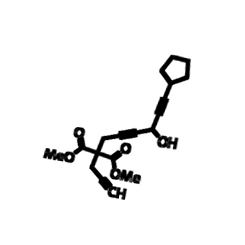 C#CCC(CC#CC(O)C#CC1CCCC1)(C(=O)OC)C(=O)OC